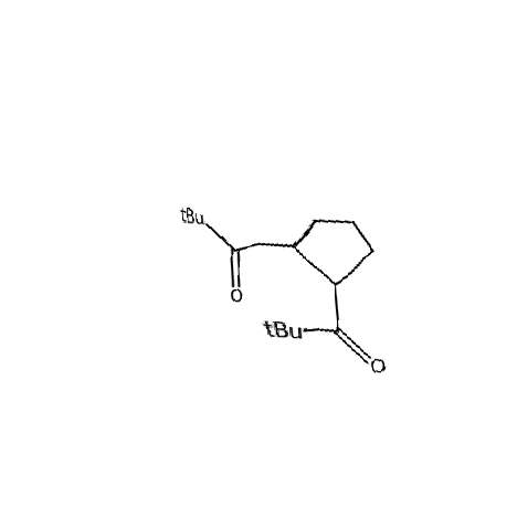 CC(C)(C)C(=O)C1CCCC1C(=O)C(C)(C)C